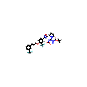 CC(C)(C)OC(=O)NC(=NC(=O)O)N1CCC[C@H]1c1nc(-c2ccc(OCC=Cc3cccc(C(F)(F)F)c3)c(C(F)(F)F)c2)no1